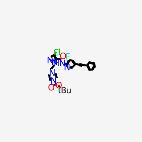 CC(C)(C)OC(=O)N1CCN(CCn2ncc(Cl)c2C(=O)Nc2ncc(C#Cc3ccccc3)cc2F)CC1